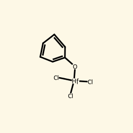 [Cl][Hf]([Cl])([Cl])[O]c1ccccc1